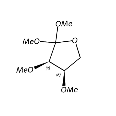 CO[C@@H]1[C@H](OC)COC1(OC)OC